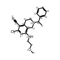 COCCNc1nc(Cl)c(C#N)c2c1CN(C(C)c1ccccc1)CC2